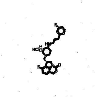 Cl.Cl.O=c1ccc2ccc(F)c3c2n1C[C@H]3CN1CCC(NC/C=C/c2cccc(F)c2)CC1